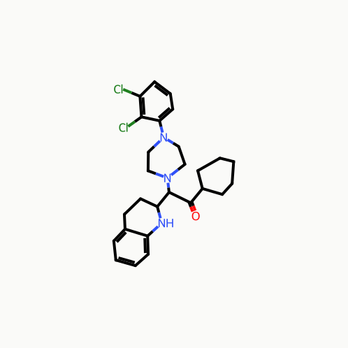 O=C(C1CCCCC1)C(C1CCc2ccccc2N1)N1CCN(c2cccc(Cl)c2Cl)CC1